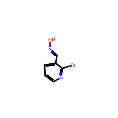 CCc1ncccc1C=NO